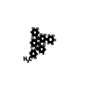 Cc1ccc(N2c3ccccc3B3c4cc(C5CCCCC5)ccc4N(c4ccccc4)c4cccc2c43)cc1